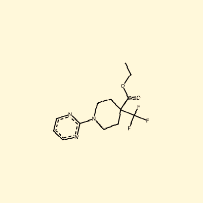 CCOC(=O)C1(C(F)(F)F)CCN(c2nc[c]cn2)CC1